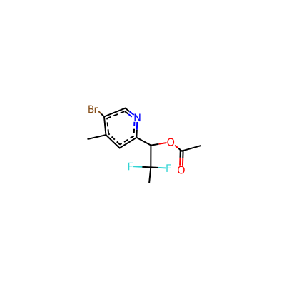 CC(=O)OC(c1cc(C)c(Br)cn1)C(C)(F)F